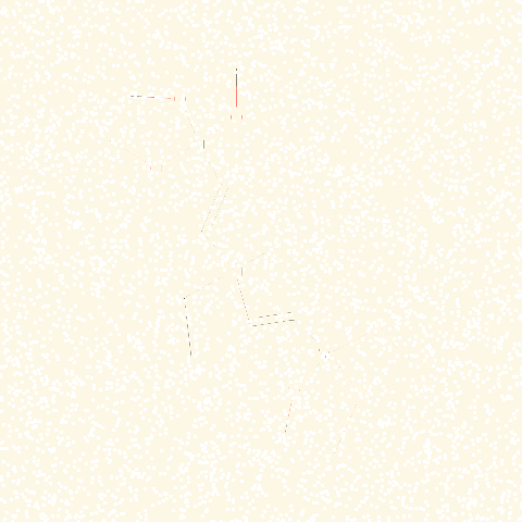 CC[Si](C)(C=C[Si](OC)(OC)OC)C=C[Si](OC)(OC)OC